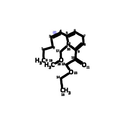 CCC/C=C\C1=CCC=C(C(=O)COCC)N1COC